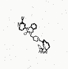 N#Cc1cc(N2C(=O)N(CC3CCN(c4cccc5n[nH]c(=O)n45)CC3)Cc3ccccc32)ccn1